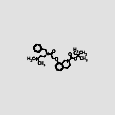 CN(C)CCN(Cc1ccccc1)C(=O)COc1cccc2c1CN(C(=O)OC(C)(C)C)CC2